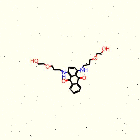 O=C1c2ccccc2C(=O)c2c(NCCCOCCO)ccc(NCCCOCCO)c21